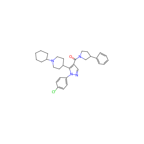 O=C(c1cnn(-c2ccc(Cl)cc2)c1C1CCN(C2CCCCC2)CC1)N1CCC(c2ccccc2)C1